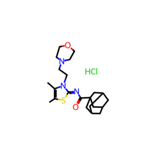 Cc1sc(=NC(=O)C23CC4CC(CC(C4)C2)C3)n(CCN2CCOCC2)c1C.Cl